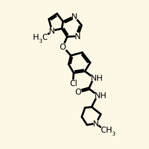 CN1CCCC(NC(=O)Nc2ccc(Oc3ncnc4ccn(C)c34)cc2Cl)C1